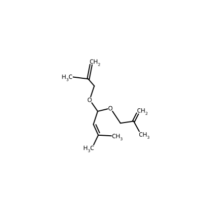 C=C(C)COC(C=C(C)C)OCC(=C)C